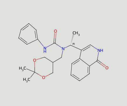 C[C@H](c1c[nH]c(=O)c2ccccc12)N(CC1COC(C)(C)OC1)C(=O)Nc1ccccc1